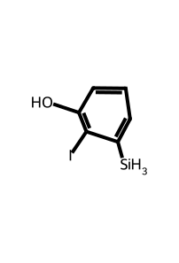 Oc1cccc([SiH3])c1I